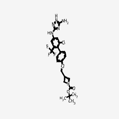 CC(C)(C)OC(=O)N1CC(COc2ccc(-c3c(Cl)cc(Nc4n[nH]c(N)n4)cc3C(F)(F)F)cc2)C1